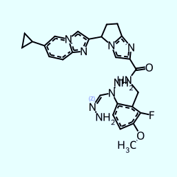 COc1ccc(N(N)/C=N\N)c(CNC(=O)c2cn3c(n2)CCC3c2cn3cc(C4CC4)ccc3n2)c1F